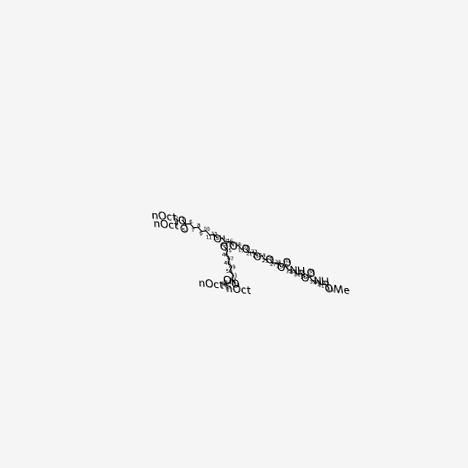 CCCCCCCCC(CCCCCCCC)OC(=O)CCCCCCCOCC(COCCOCCOCCOCCOC(=O)CNCCOC(=O)CNCCOC)OCCCCCCCC(=O)OC(CCCCCCCC)CCCCCCCC